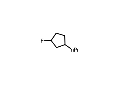 [CH2]CCC1CCC(F)C1